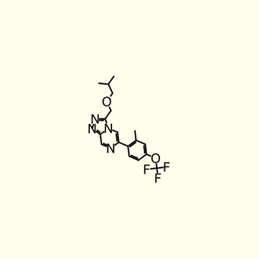 Cc1cc(OC(F)(F)F)ccc1-c1cn2c(COCC(C)C)nnc2cn1